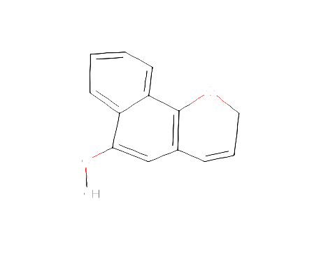 COc1cc2c(c3ccccc13)OCC=C2